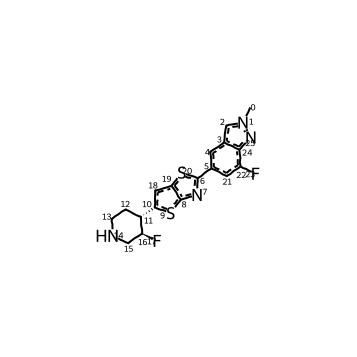 Cn1cc2cc(-c3nc4sc([C@H]5CCNC[C@@H]5F)cc4s3)cc(F)c2n1